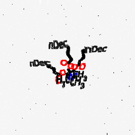 CCCCCCCCCCCCCC(=O)OCC(COC(=O)CCCCCCCCCCCCC)(COC(=O)CCCCCCCCCCCCC)[N+](C)(C)C